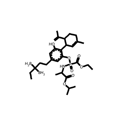 BC(B)(CC)CCc1cc(O)c(C2C=C(C)CCC2C(=C)C)c(OP(=O)(NC(C)C(=O)OC(C)C)C(=O)OCC)c1